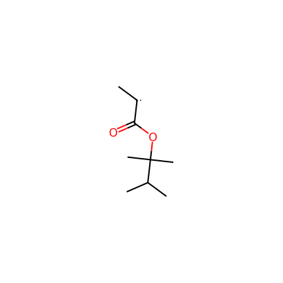 C[CH]C(=O)OC(C)(C)C(C)C